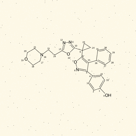 Oc1ccc(-c2noc(C3(c4nnc(CCN5CCOCC5)o4)CC3)c2-c2ccccc2)cc1